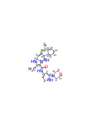 CC1=C(C(=O)NC2=CCNC(N3CCOCC3)=C2)N2NC(c3ccccc3C(F)F)C=CC2N1